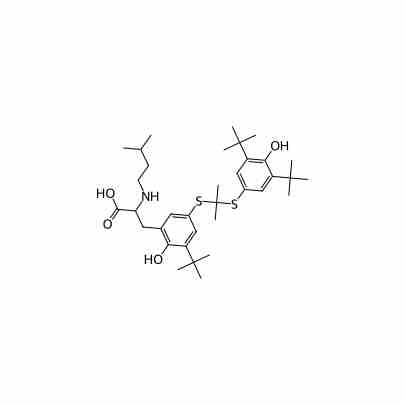 CC(C)CCNC(Cc1cc(SC(C)(C)Sc2cc(C(C)(C)C)c(O)c(C(C)(C)C)c2)cc(C(C)(C)C)c1O)C(=O)O